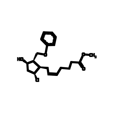 COC(=O)CCC/C=C\C[C@@H]1[C@@H](COc2ccccc2)[C@H](O)C[C@H]1Cl